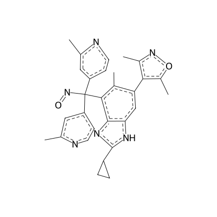 Cc1cc(C(N=O)(c2ccnc(C)c2)c2c(C)c(-c3c(C)noc3C)cc3[nH]c(C4CC4)nc23)ccn1